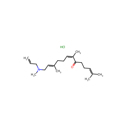 C=CCN(C)C/C=C(\C)CC/C=C(/C)C(=O)CCC=C(C)C.Cl